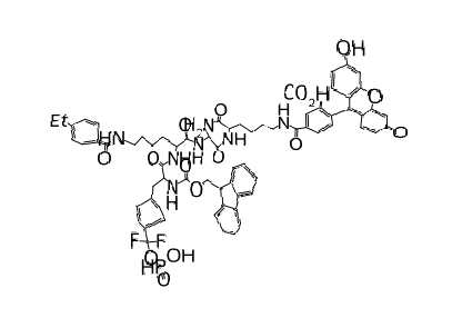 CCc1ccc(C(=O)NCCCCC(NC(=O)C(Cc2ccc(C(F)(F)O[PH](=O)O)cc2)NC(=O)OCC2c3ccccc3-c3ccccc32)C(=O)NC(C)C(=O)NC(CCCCNC(=O)c2ccc(-c3c4ccc(=O)cc-4oc4cc(O)ccc34)c(C(=O)O)c2)C(N)=O)cc1